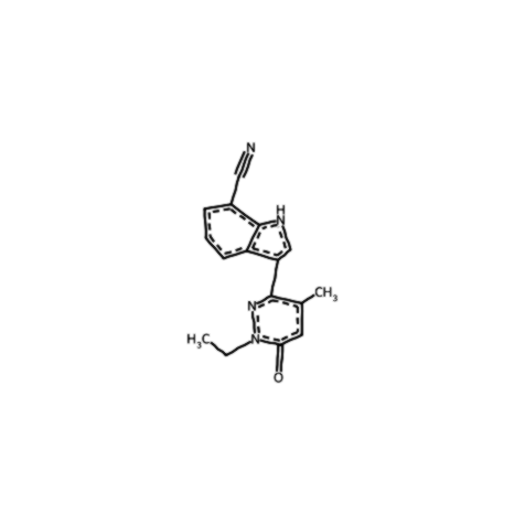 CCn1nc(-c2c[nH]c3c(C#N)cccc23)c(C)cc1=O